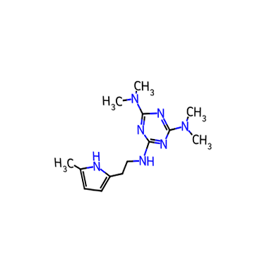 Cc1ccc(CCNc2nc(N(C)C)nc(N(C)C)n2)[nH]1